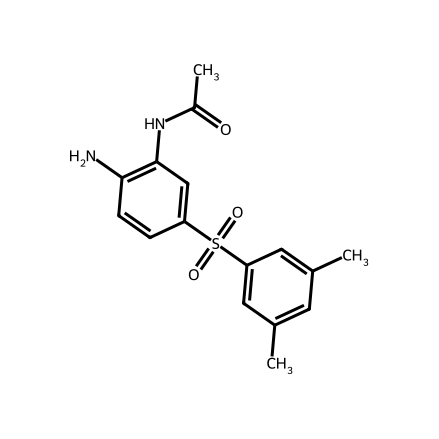 CC(=O)Nc1cc(S(=O)(=O)c2cc(C)cc(C)c2)ccc1N